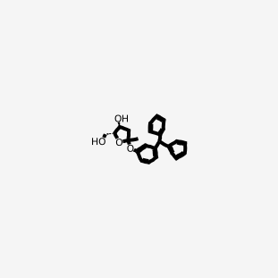 CC1(Oc2cccc(C(c3ccccc3)c3ccccc3)c2)C[C@H](O)[C@@H](CO)O1